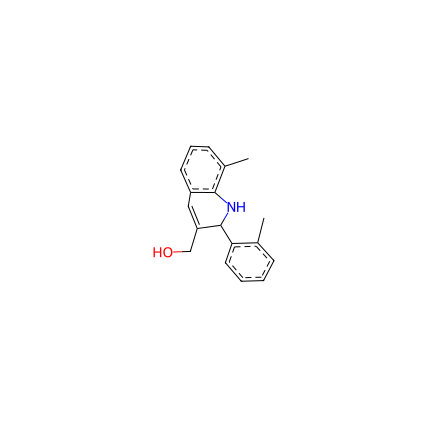 Cc1ccccc1C1Nc2c(C)cccc2C=C1CO